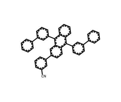 N#Cc1cccc(-c2ccc3c(-c4cccc(-c5ccccc5)c4)c4ccccc4c(-c4cccc(-c5ccccc5)c4)c3c2)c1